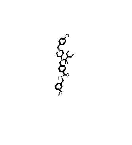 CCC(CC)C(=O)N(Cc1ccc(C(=O)NCc2cccc(OC)c2)cc1)C1CCN(Cc2ccc(Cl)cc2)CC1